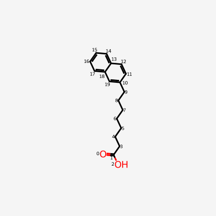 O=C(O)CCCCCCCc1ccc2ccccc2c1